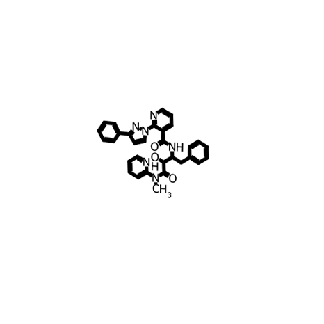 CN(C(=O)C(O)C(Cc1ccccc1)NC(=O)c1cccnc1-n1ccc(-c2ccccc2)n1)c1ccccn1